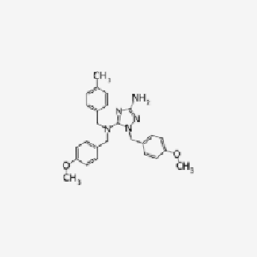 COc1ccc(CN(Cc2ccc(C)cc2)c2nc(N)nn2Cc2ccc(OC)cc2)cc1